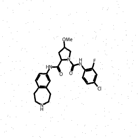 COC1CC(C(=O)Nc2ccc3c(c2)CCNCC3)N(C(=O)Nc2ccc(Cl)cc2F)C1